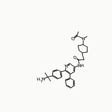 CC(=O)N(C)C1CCC(CC(=O)Nc2cnc(-c3ccc(C(C)(C)N)cc3)c(-c3ccccc3)c2)CC1